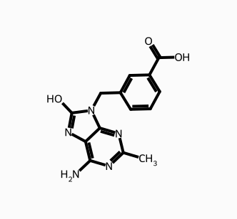 Cc1nc(N)c2nc(O)n(Cc3cccc(C(=O)O)c3)c2n1